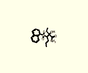 CCCC(C(O)(CC)C(N)=O)S(=O)(=O)c1cccc2ccccc12